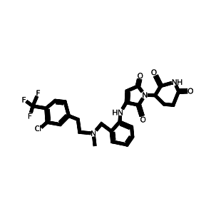 CN(CCc1ccc(C(F)(F)F)c(Cl)c1)Cc1ccccc1NC1=CC(=O)N(C2CCC(=O)NC2=O)C1=O